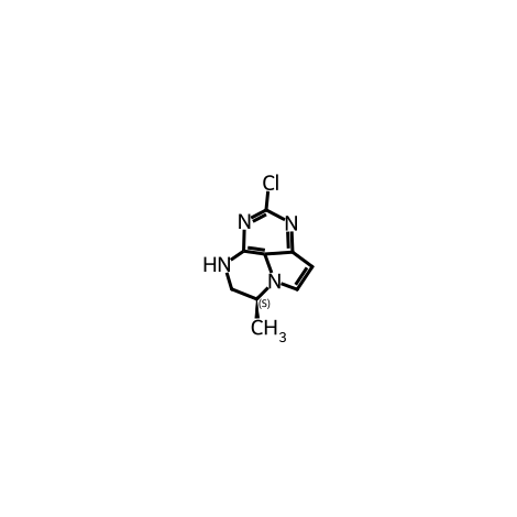 C[C@H]1CNc2nc(Cl)nc3ccn1c23